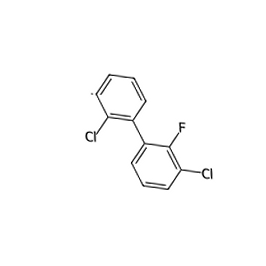 Fc1c(Cl)cccc1-c1ccc[c]c1Cl